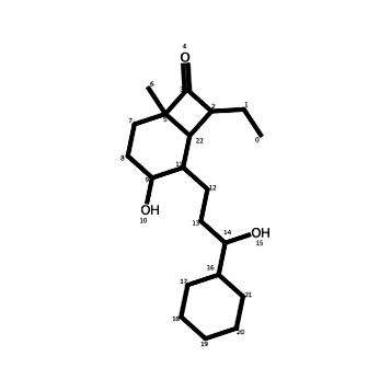 CCC1C(=O)C2(C)CCC(O)C(CCC(O)C3CCCCC3)C12